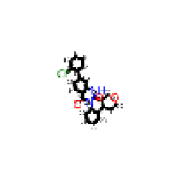 O=c1[nH]c2cc(-c3ccccc3Cl)ccc2c(=O)n1-c1ccccc1C1CCOCC1